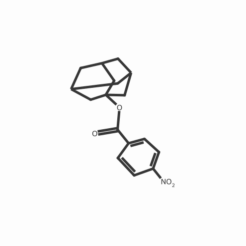 O=C(OC12CC3CC(CC(C3)C1)C2)c1ccc([N+](=O)[O-])cc1